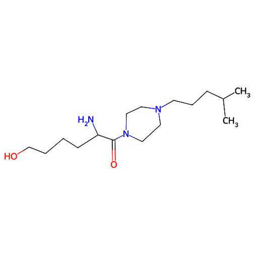 CC(C)CCCN1CCN(C(=O)C(N)CCCCO)CC1